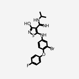 CC(C)NC(=N)c1c(O)nsc1Nc1ccc(Oc2ccc(F)cc2)c(Br)c1